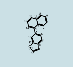 c1ccc2c(-c3ccc4ccsc4c3)cccc2c1